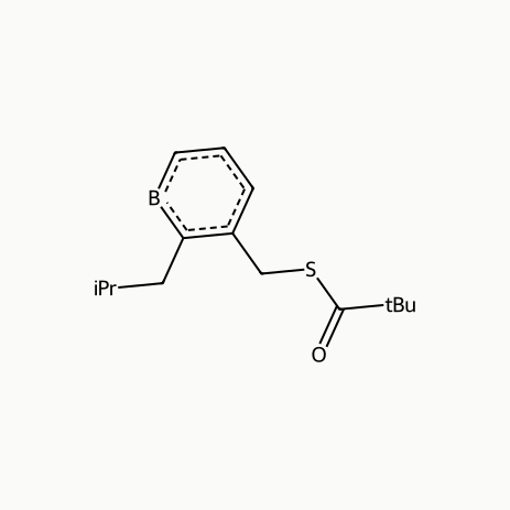 CC(C)Cc1bcccc1CSC(=O)C(C)(C)C